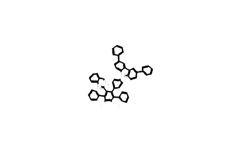 Cc1c(C)c(-c2ccccc2)c(-c2ncc3ccccc3n2)c(-c2ccc(-n3c4ccc(-c5ccccc5)cc4c4cc(-c5ccccc5)ccc43)cc2)c1-c1ccccc1